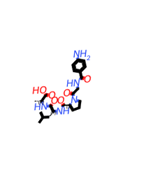 CC(C)C[C@@H](NC(=O)[C@@H]1CCCN1C(=O)CNC(=O)c1ccc(N)cc1)C(=O)N[C@H](C)C(=O)O